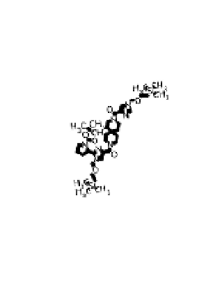 CC(C)(C)OC(=O)N1CCCC1c1nc(C(=O)N2CCC3(CCN(C(=O)c4cn(COCC[Si](C)(C)C)cn4)CC3)CC2)cn1COCC[Si](C)(C)C